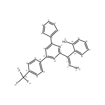 N/N=C(/c1nc(-c2ccccc2)cc(-c2ccc(C(F)(F)F)cc2)n1)c1ccccc1O